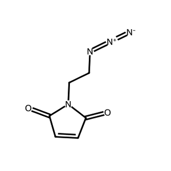 [N-]=[N+]=NCCN1C(=O)C=CC1=O